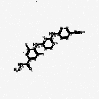 Cc1cc(C(=O)NN)cc(C)c1Nc1ccnc(Nc2ccc(C#N)cc2)n1